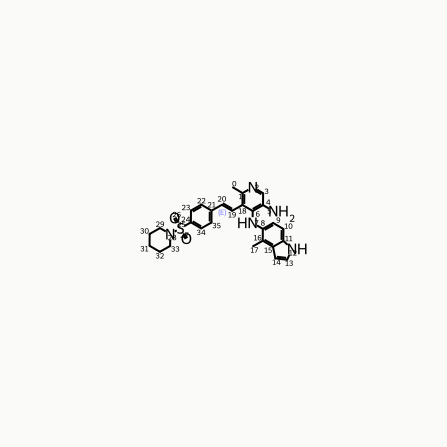 Cc1ncc(N)c(Nc2ccc3[nH]ccc3c2C)c1/C=C/c1ccc(S(=O)(=O)N2CCCCC2)cc1